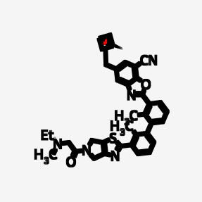 CCN(C)CC(=O)N1Cc2nc(-c3cccc(-c4cccc(-c5nc6cc(CN7CC8CC7C8)cc(C#N)c6o5)c4C)c3C)sc2C1